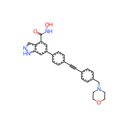 O=C(NO)c1cc(-c2ccc(C#Cc3ccc(CN4CCOCC4)cc3)cc2)cc2[nH]ncc12